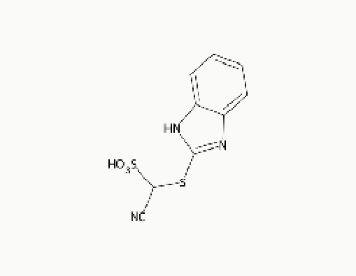 N#CC(Sc1nc2ccccc2[nH]1)S(=O)(=O)O